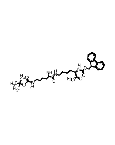 CC(C)(C)OC(=O)NCCCCC(N)C(=O)NCCCCC(NC(=O)OCC1c2ccccc2-c2ccccc21)C(=O)O